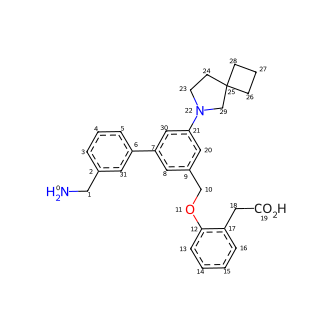 NCc1cccc(-c2cc(COc3ccccc3CC(=O)O)cc(N3CCC4(CCC4)C3)c2)c1